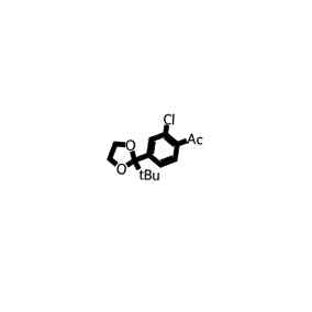 CC(=O)c1ccc(C2(C(C)(C)C)OCCO2)cc1Cl